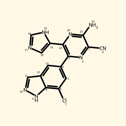 N#Cc1nc(-c2cc(Cl)c3[nH]ncc3c2)c(-c2cnc[nH]2)nc1N